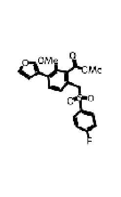 COC(=O)c1c(CS(=O)(=O)c2ccc(F)cc2)ccc(-c2ccoc2)c1OC